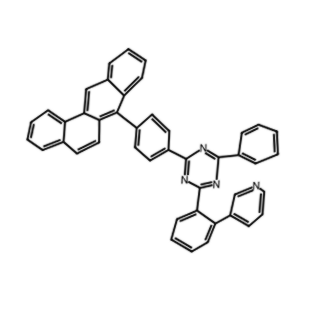 c1ccc(-c2nc(-c3ccc(-c4c5ccccc5cc5c4ccc4ccccc45)cc3)nc(-c3ccccc3-c3cccnc3)n2)cc1